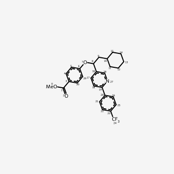 COC(=O)c1ccc(OC(CC2CCCCC2)c2ccc(-c3ccc(C(F)(F)F)cc3)nc2)cc1